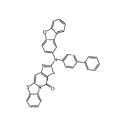 O=c1c2sc(N(c3ccc(-c4ccccc4)cc3)c3ccc4oc5ccccc5c4c3)nc2cc2sc3ccccc3n12